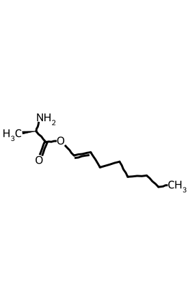 CCCCCCC=COC(=O)[C@@H](C)N